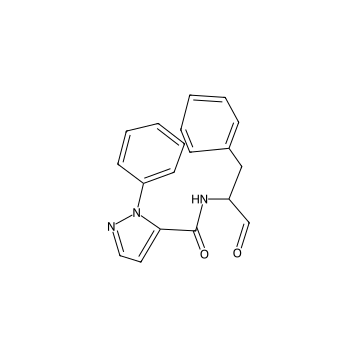 O=CC(Cc1ccccc1)NC(=O)c1ccnn1-c1ccccc1